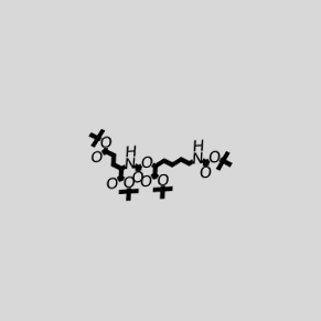 CC(C)(C)OC(=O)CCC(NC(=O)OC(CCCCNC(=O)OC(C)(C)C)C(=O)OC(C)(C)C)C(=O)OC(C)(C)C